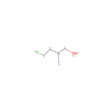 OCC(I)CCF